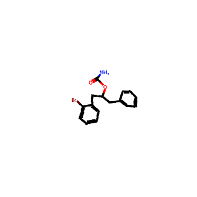 NC(=O)OC(Cc1ccccc1)Cc1ccccc1Br